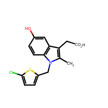 Cc1c(CC(=O)O)c2cc(O)ccc2n1Cc1ccc(Cl)s1